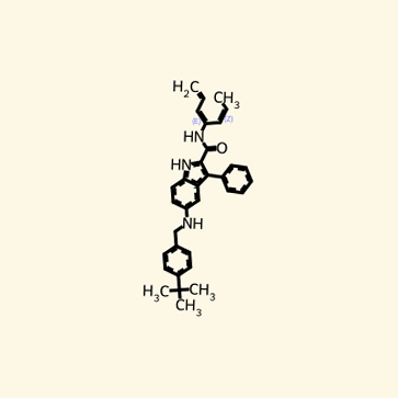 C=C/C=C(\C=C/C)NC(=O)c1[nH]c2ccc(NCc3ccc(C(C)(C)C)cc3)cc2c1-c1ccccc1